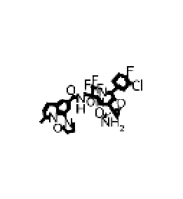 Cc1ccc2cc(C(=O)NCC(O)(c3cc4c(c(-c5ccc(F)c(Cl)c5)n3)OC3C[C@@]43C(N)=O)C(F)(F)F)cc(N3CCCC3=O)c2n1